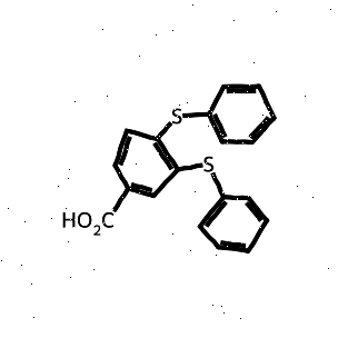 O=C(O)c1ccc(Sc2ccccc2)c(Sc2ccccc2)c1